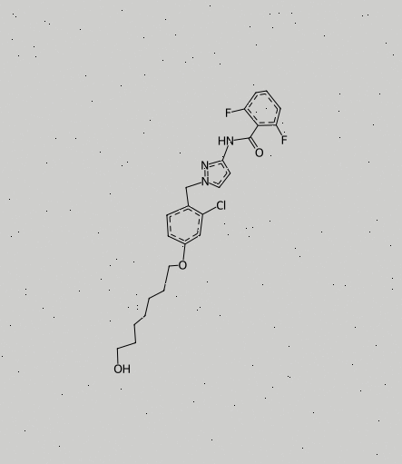 O=C(Nc1ccn(Cc2ccc(OCCCCCCCO)cc2Cl)n1)c1c(F)cccc1F